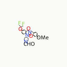 COc1ccc(Cn2c(=O)c3cc(OC(CF)CF)ccc3n(C3CCN(C=O)CC3)c2=O)cc1